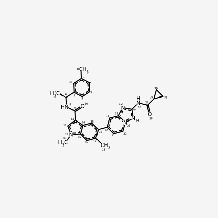 Cc1cccc([C@H](C)NC(=O)c2cn(C)c3cc(C)c(-c4ccn5nc(NC(=O)C6CC6)nc5c4)cc23)c1